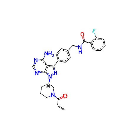 C=CC(=O)N1CCC[C@@H](n2nc(-c3ccc(CNC(=O)c4ccccc4F)cc3)c3c(N)ncnc32)C1